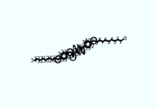 CCCCCCCCCCOc1ccc(-c2cnc(C(=O)Oc3ccc(OCCCCCCCC)cc3)cn2)cc1